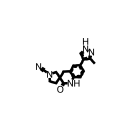 Cc1n[nH]cc1-c1ccc2c(c1)CC1(CCN(C#N)C1)C(=O)N2